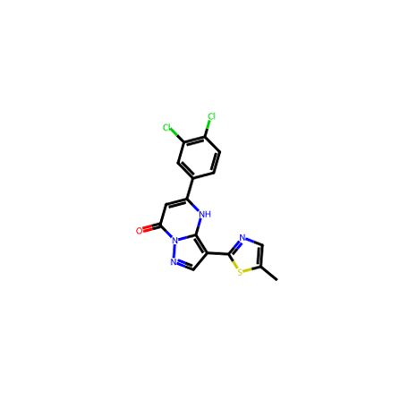 Cc1cnc(-c2cnn3c(=O)cc(-c4ccc(Cl)c(Cl)c4)[nH]c23)s1